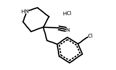 Cl.N#CC1(Cc2cccc(Cl)c2)CCNCC1